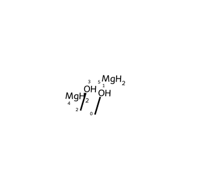 CO.CO.[MgH2].[MgH2]